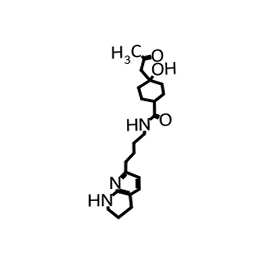 CC(=O)CC1(O)CCC(C(=O)NCCCCc2ccc3c(n2)NCCC3)CC1